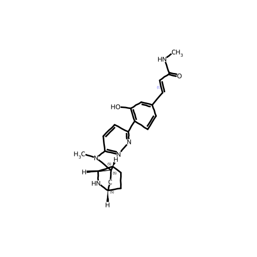 CNC(=O)/C=C/c1ccc(-c2ccc(N(C)[C@H]3C[C@@H]4CC[C@H]3CN4)nn2)c(O)c1